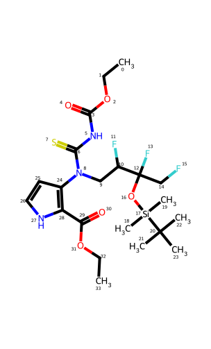 CCOC(=O)NC(=S)N(CC(F)C(F)(CF)O[Si](C)(C)C(C)(C)C)c1cc[nH]c1C(=O)OCC